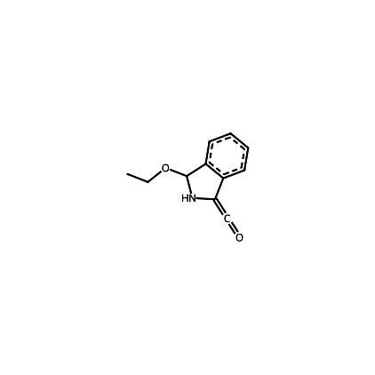 CCOC1NC(=C=O)c2ccccc21